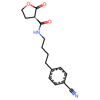 N#Cc1ccc(CCCCNC(=O)[C@H]2CCOC2=O)cc1